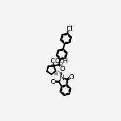 O=C1c2ccccc2C(=O)N1C[C@@H]1CCC[C@]1(C(=O)O)C(=O)c1ccc(-c2ccc(Cl)cc2)cc1